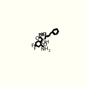 NC(=O)C1CC(F)(F)CC[C@]1(O)[C@H](C[C@@H](O)[CH]Cc1ccccc1)C(N)=O